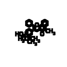 Cn1c(=O)c(CN(C(=O)C2CCCCC2)C2CCN(C(=O)O)C(C(C)(C)C)C2)cc2ccccc21